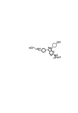 CCC[C@H](C)Nc1ncc2c(-c3ccc(CNCCO)cc3)nn(C3CCC(O)CC3)c2n1